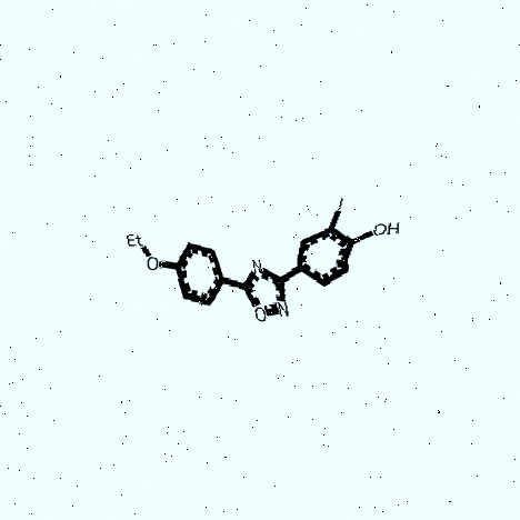 CCOc1ccc(-c2nc(-c3ccc(O)c(I)c3)no2)cc1